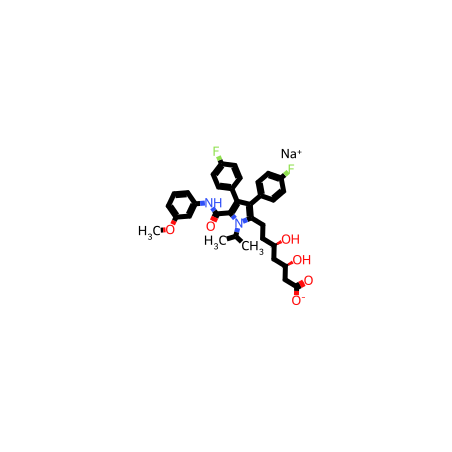 COc1cccc(NC(=O)c2c(-c3ccc(F)cc3)c(-c3ccc(F)cc3)c(CC[C@@H](O)C[C@@H](O)CC(=O)[O-])n2C(C)C)c1.[Na+]